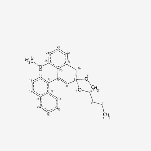 CCCCOC1(OC)C=C(c2cccc3ccccc23)c2c(cccc2OC)C1